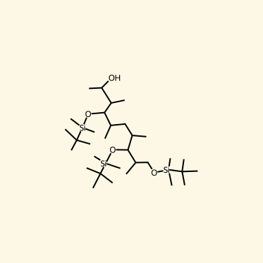 CC(O)C(C)C(O[Si](C)(C)C(C)(C)C)C(C)CC(C)C(O[Si](C)(C)C(C)(C)C)C(C)CO[Si](C)(C)C(C)(C)C